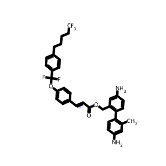 [CH2]c1cc(N)ccc1-c1ccc(N)cc1COC(=O)/C=C/c1ccc(OC(F)(F)c2ccc(CCCCC(F)(F)F)cc2)cc1